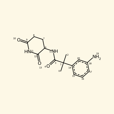 CC(C)(C(=O)NC1CCC(=O)NC1=O)c1cccc(N)c1